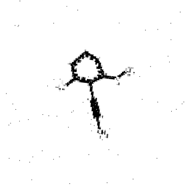 CC#Cc1c(C)cccc1SC(F)(F)F